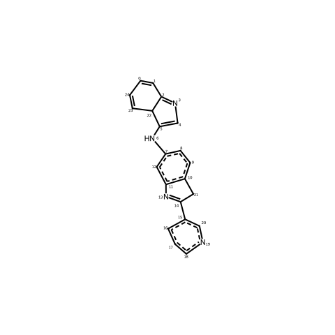 C1=CC2=NC=C(Nc3ccc4c(c3)N=C(c3cccnc3)C4)C2C=C1